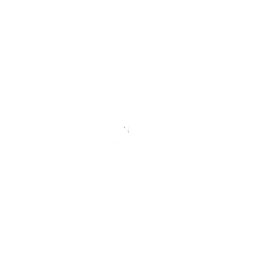 C1=Cc2cc(SNSc3ccc4ccccc4c3)ccc2CC1